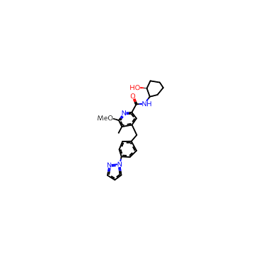 COc1nc(C(=O)NC2CCCC[C@@H]2O)cc(Cc2ccc(-n3cccn3)cc2)c1C